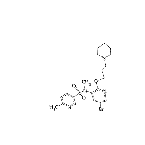 Cc1ccc(S(=O)(=O)N(C)c2cc(Br)cnc2OCCCN2CCCCC2)cn1